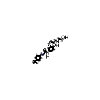 CC(C)(C)c1ccc(/C=C/C(=O)Nc2ccc3c(c2)OC[C@@H](CNCCO)O3)cc1